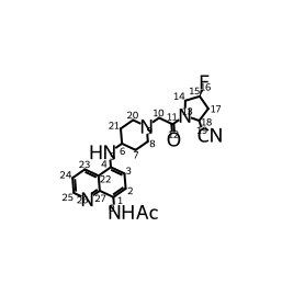 CC(=O)Nc1ccc(NC2CCN(CC(=O)N3C[C@@H](F)CC3C#N)CC2)c2cccnc12